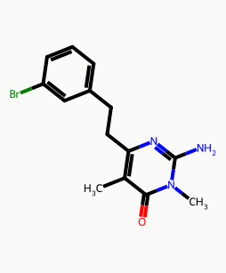 Cc1c(CCc2cccc(Br)c2)nc(N)n(C)c1=O